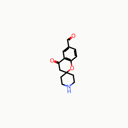 O=Cc1ccc2c(c1)C(=O)CC1(CCNCC1)O2